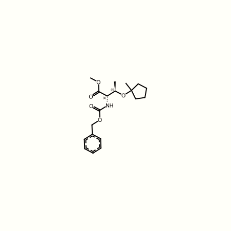 COC(=O)[C@@H](NC(=O)OCc1ccccc1)[C@@H](C)OC1(C)CCCC1